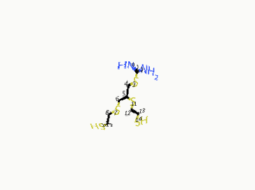 N=C(N)SCC(CSCCS)SCCS